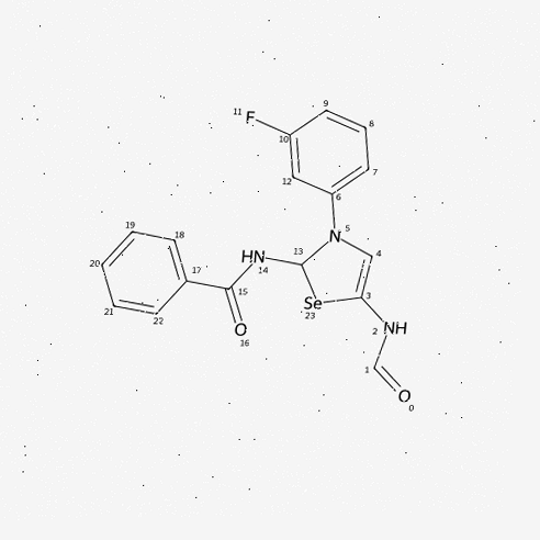 O=CNC1=CN(c2cccc(F)c2)C(NC(=O)c2ccccc2)[Se]1